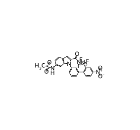 CS(=O)(=O)Nc1ccc2cc(C(N)=O)n(-c3cccc(-c4ccc([N+](=O)[O-])cc4C(F)(F)F)c3)c2c1